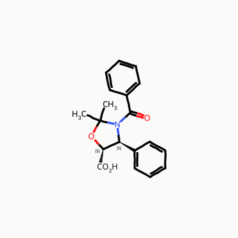 CC1(C)O[C@H](C(=O)O)[C@H](c2ccccc2)N1C(=O)c1ccccc1